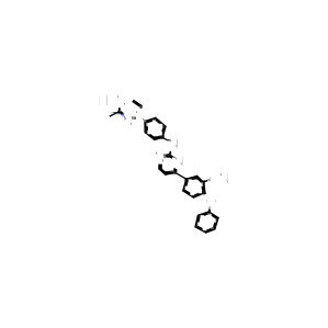 C=CN(/N=C(/C)N)c1ccc(Nc2nccc(-c3ccc(Oc4ccccc4)c(C#N)c3)n2)cc1